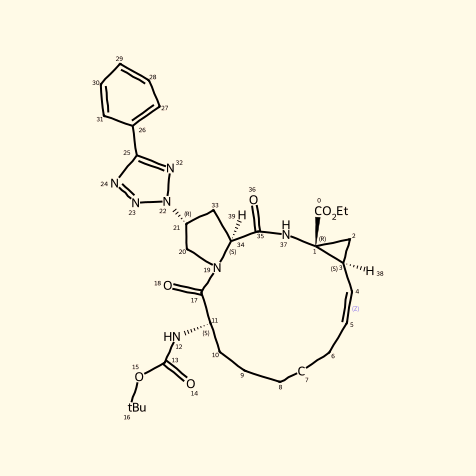 CCOC(=O)[C@@]12C[C@H]1/C=C\CCCCC[C@H](NC(=O)OC(C)(C)C)C(=O)N1C[C@H](n3nnc(-c4ccccc4)n3)C[C@H]1C(=O)N2